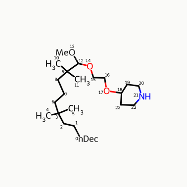 CCCCCCCCCCCCC(C)(C)CCCC(C)(C)C(OC)OCCOC1CCNCC1